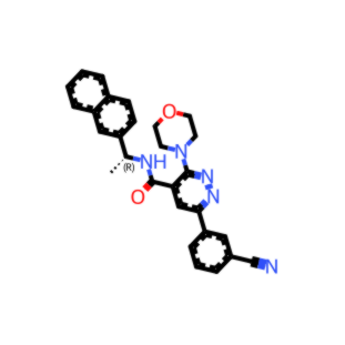 C[C@@H](NC(=O)c1cc(-c2cccc(C#N)c2)nnc1N1CCOCC1)c1ccc2ccccc2c1